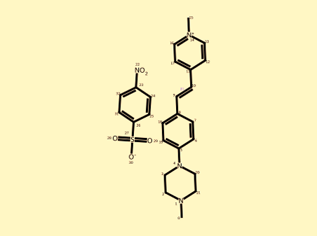 CN1CCN(c2ccc(/C=C/c3cc[n+](C)cc3)cc2)CC1.O=[N+]([O-])c1ccc(S(=O)(=O)[O-])cc1